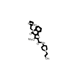 COC1c2c(c3ccccc3n(Cc3ncc[nH]3)c2=O)SC1C(=O)NC1CCN(CCO)CC1